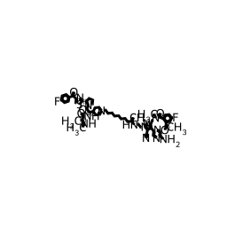 C=C(CCCCCCCCN1CCC([C@H](NC(=O)[C@H](C)NC)C(=O)N2CCC[C@H]2C2=NC(C(=O)c3ccc(F)cc3)CS2)CC1)NCCn1nc2c(c1C#N)-c1cnc(N)c(n1)O[C@H](C)c1cc(F)ccc1C(=O)N(C)C2